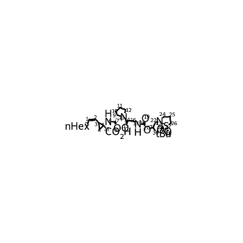 CCCCCC/C=C\C1C[C@]1(NC(=O)[C@@H]1CCCN1C(=O)CNC(=O)OC(CN1CCCS1(=O)=O)C(C)(C)C)C(=O)O